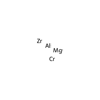 [Al].[Cr].[Mg].[Zr]